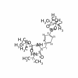 CC(C)NC(=O)C(Cc1ccc(B2OC(C)(C)C(C)(C)O2)cc1)NC(=O)OC(C)(C)C